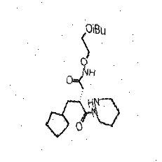 CC(C)COCCONC(=O)C[C@@H](CC1CCCC1)C(=O)N1CCCCN1